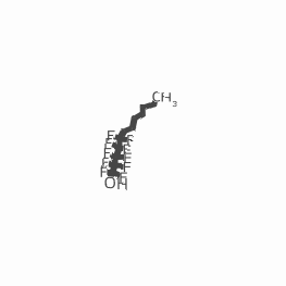 CCCCCCCC(F)(F)C(F)(F)C(F)(F)C(F)(F)C(O)(F)F